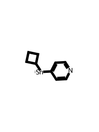 c1c[c]([Sn][CH]2CCC2)ccn1